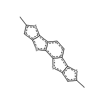 Cc1cc2sc3c(ccc4c5sc(C)cc5sc43)c2s1